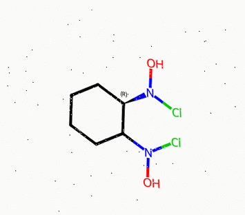 ON(Cl)C1CCCC[C@H]1N(O)Cl